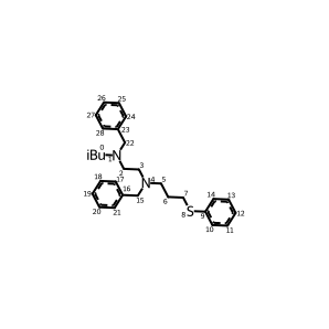 CCC(C)N(CCN(CCCSc1ccccc1)Cc1ccccc1)Cc1ccccc1